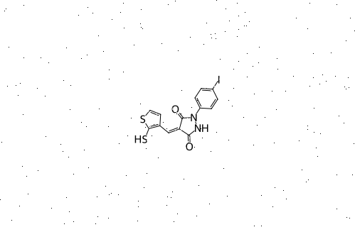 O=C1NN(c2ccc(I)cc2)C(=O)C1=Cc1ccsc1S